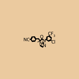 C[C@@]1(Cc2ccc(C#N)cc2)C(=O)N(c2cc(Cl)cc(C(F)(F)F)c2)c2nccn21